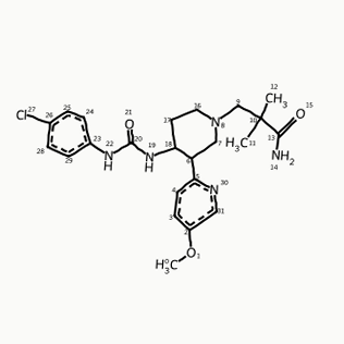 COc1ccc(C2CN(CC(C)(C)C(N)=O)CCC2NC(=O)Nc2ccc(Cl)cc2)nc1